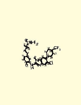 Cn1c(Nc2cc(CCC(C)(C)[S+](N)[O-])ccc2Cl)nc2cc(Cl)c(N3CCC(C(F)(F)F)CC3)cc21